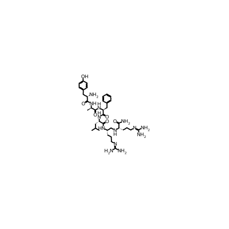 CC(C)C[C@H](NC(=O)[C@H](Cc1ccccc1)NC(=O)[C@@H](C)NC(=O)[C@@H](N)Cc1ccc(O)cc1)C(=O)N[C@@H](CCCN=C(N)N)CN[C@@H](CCCN=C(N)N)C(N)=O